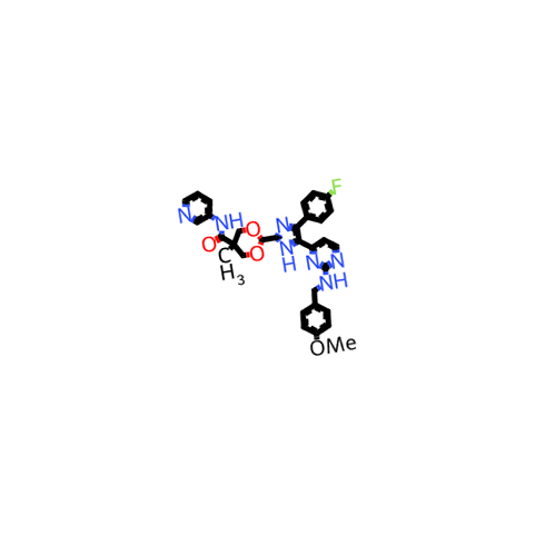 COc1ccc(CNc2nccc(-c3[nH]c(C4OCC(C)(C(=O)Nc5cccnc5)CO4)nc3-c3ccc(F)cc3)n2)cc1